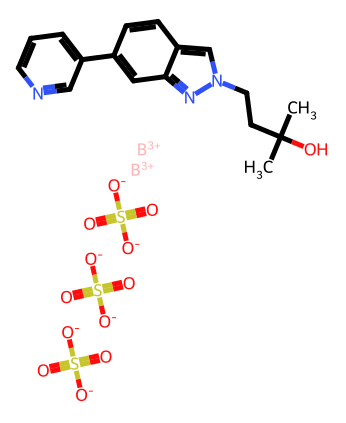 CC(C)(O)CCn1cc2ccc(-c3cccnc3)cc2n1.O=S(=O)([O-])[O-].O=S(=O)([O-])[O-].O=S(=O)([O-])[O-].[B+3].[B+3]